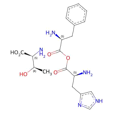 C[C@@H](O)[C@H](N)C(=O)O.N[C@@H](Cc1ccccc1)C(=O)OC(=O)[C@@H](N)Cc1c[nH]cn1